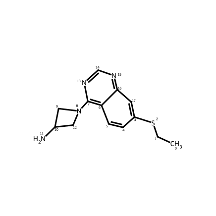 CCSc1ccc2c(N3CC(N)C3)ncnc2c1